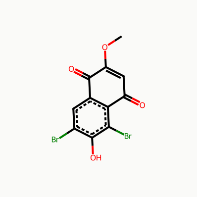 COC1=CC(=O)c2c(cc(Br)c(O)c2Br)C1=O